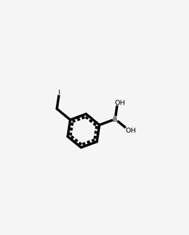 OB(O)c1cccc(CI)c1